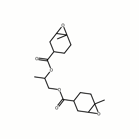 CC(COC(=O)C1CCC2(C)OC2C1)OC(=O)C1CCC2(C)OC2C1